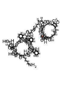 COc1cc2cc(c1Cl)N(C)C(=O)C[C@H](OC(=O)[C@H](C)N(C)C(=O)CCSSCCC(=O)N[C@H](Cc1ccccc1)C(=O)N[C@H]1CSSC[C@@H](C(=O)N[C@H](CO)[C@@H](C)O)NC(=O)[C@H]([C@@H](C)O)NC(=O)[C@H](CCCCCN)NC(=O)[C@@H](Cc3c[nH]c4ccccc34)NC(=O)[C@H](Cc3ccccc3)NC1=O)[C@]1(C)O[C@H]1[C@H](C)[C@@H]1C[C@@](O)(NC(=O)O1)[C@@H](OC)/C=C/C=C(\C)C2